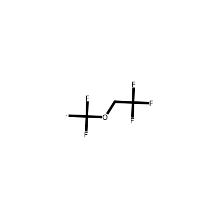 [CH2]C(F)(F)OCC(F)(F)F